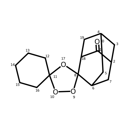 O=C1C2CC3CC(C2)C2(OOC4(CCCCC4)O2)C1C3